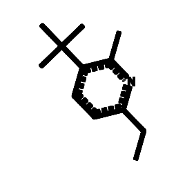 CCc1ccc(C(C)(C)C)c(C)n1